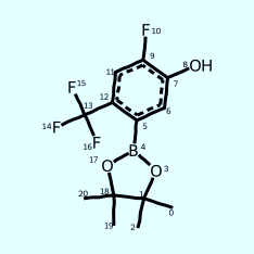 CC1(C)OB(c2cc(O)c(F)cc2C(F)(F)F)OC1(C)C